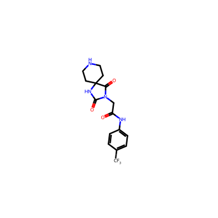 O=C(CN1C(=O)NC2(CCNCC2)C1=O)Nc1ccc(C(F)(F)F)cc1